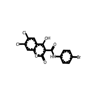 O=C(Nc1ccc(Br)cc1)c1c(O)c2cc(Cl)c(Cl)cc2oc1=O